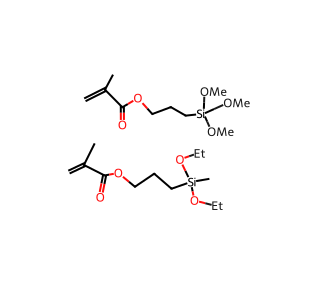 C=C(C)C(=O)OCCC[Si](C)(OCC)OCC.C=C(C)C(=O)OCCC[Si](OC)(OC)OC